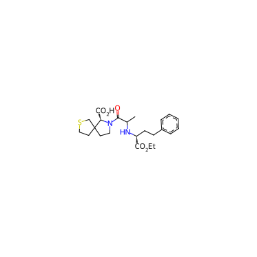 CCOC(=O)[C@H](CCc1ccccc1)NC(C)C(=O)N1CCC2(CCSC2)[C@H]1C(=O)O